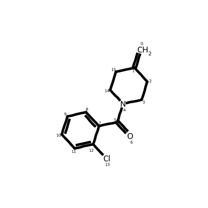 C=C1CCN(C(=O)c2ccccc2Cl)CC1